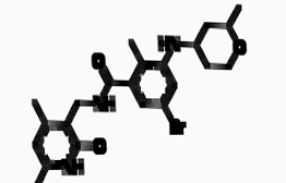 Cc1cc(C)c(CNC(=O)c2cc(Br)cc(NC3CCOC(C)C3)c2C)c(=O)[nH]1